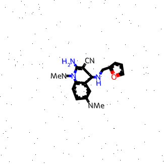 CNc1ccc2c(c1)C(NCc1ccco1)C(C#N)=C(N)N2NC